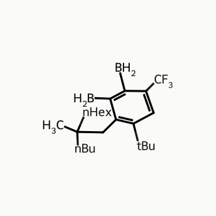 Bc1c(C(F)(F)F)cc(C(C)(C)C)c(CC(C)(CCCC)CCCCCC)c1B